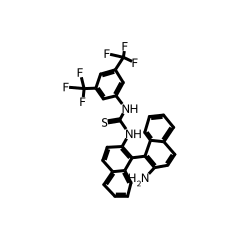 Nc1ccc2ccccc2c1-c1c(NC(=S)Nc2cc(C(F)(F)F)cc(C(F)(F)F)c2)ccc2ccccc12